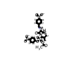 CC(=O)OCC1=C(S(=O)(=O)Oc2ccc([N+](=O)[O-])cc2)N2C(=O)[C@@H](/N=C/c3ccc([N+](=O)[O-])cc3)[C@H]2SC1